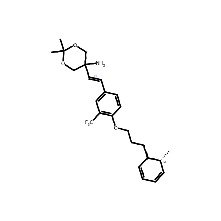 C[C@@H]1C=CC=CC1CCCOc1ccc(/C=C/C2(N)COC(C)(C)OC2)cc1C(F)(F)F